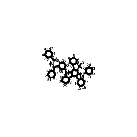 CC1(C)c2ccccc2-c2c1c1c(c3ccccc3n1-c1ccccc1)c1c3ccccc3n(-c3ccc4nc(-c5ccccc5)nc(-c5ccccc5)c4c3)c21